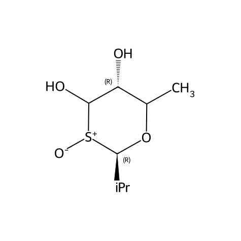 CC1O[C@@H](C(C)C)[S+]([O-])C(O)[C@@H]1O